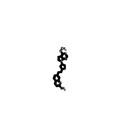 COc1ncnc2c1ccn2C1CCC(CCc2ccc3ccc(N)nc3c2)C1